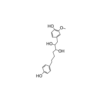 COc1cc(CC(O)C(O)CCCCc2ccc(O)cc2)ccc1O